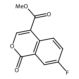 COC(=O)c1coc(=O)c2cc(F)ccc12